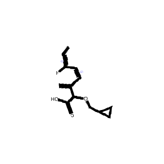 C=C(/C=C\C(F)=C/C)C(OCC1CC1)C(=O)O